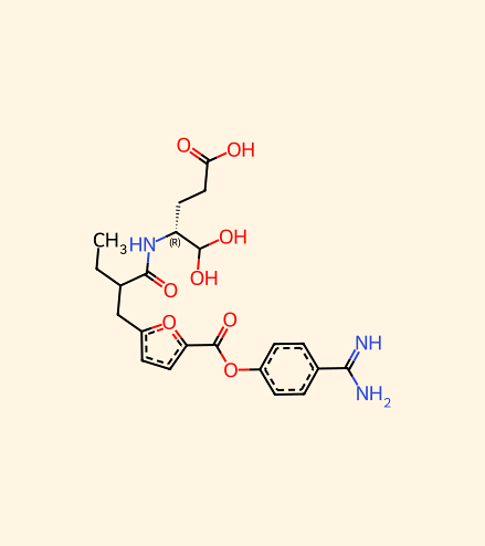 CCC(Cc1ccc(C(=O)Oc2ccc(C(=N)N)cc2)o1)C(=O)N[C@H](CCC(=O)O)C(O)O